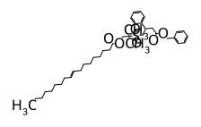 CCCCCCCCC=CCCCCCCCC(=O)OCC(C)(C)S(=O)(=O)CC(CC(=O)OCc1ccccc1)c1ccccc1